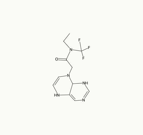 CCN(C(=O)CN1C=CNC2=CN=CNC21)C(F)(F)F